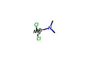 [CH2]CCN(C)C.[Cl][Mg][Cl]